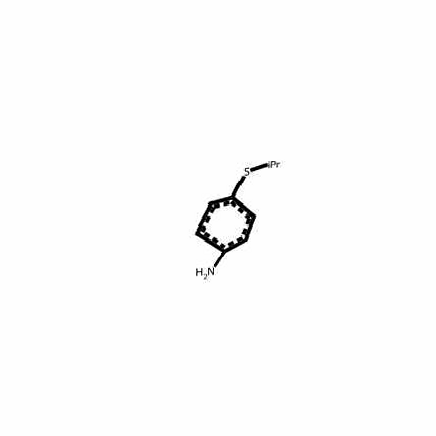 CC(C)Sc1ccc(N)cc1